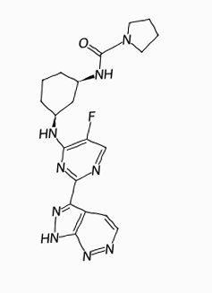 O=C(N[C@@H]1CCC[C@H](Nc2nc(-c3n[nH]c4nnccc34)ncc2F)C1)N1CCCC1